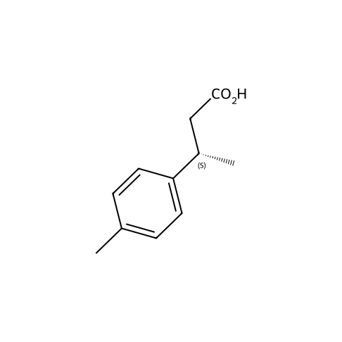 Cc1ccc([C@@H](C)CC(=O)O)cc1